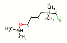 C[SiH](C)OCCCCC(C)(C)CCl